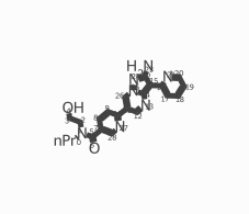 CCCN(CCO)C(=O)c1ccc(-c2cnc3c(-c4ccccn4)c(N)nn3c2)nc1